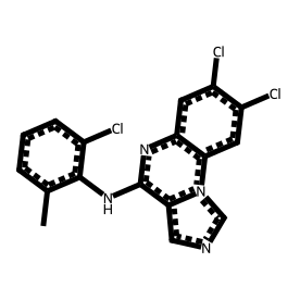 Cc1cccc(Cl)c1Nc1nc2cc(Cl)c(Cl)cc2n2cncc12